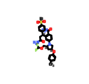 CCS(=O)(=O)c1ccc([C@H](CC(N)=O)c2cc(N3C[C@@H](Oc4ccc(C(F)(F)F)cc4)C[C@H]3COC(F)F)ccc2C(N)=O)cc1